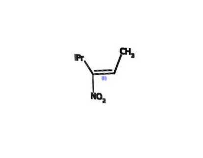 C/C=C(\C(C)C)[N+](=O)[O-]